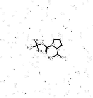 CC(O)[C@@H]1CCCN1C(=O)OC(C)(C)C